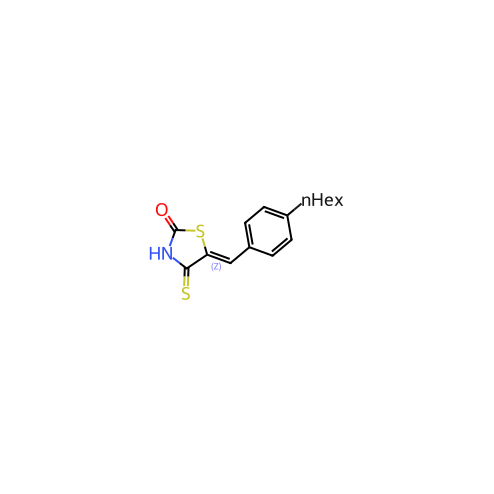 CCCCCCc1ccc(/C=C2\SC(=O)NC2=S)cc1